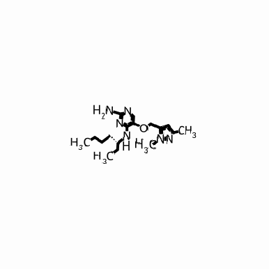 CCCC[C@@H](CC)Nc1nc(N)ncc1OCc1cc(C)nn1C